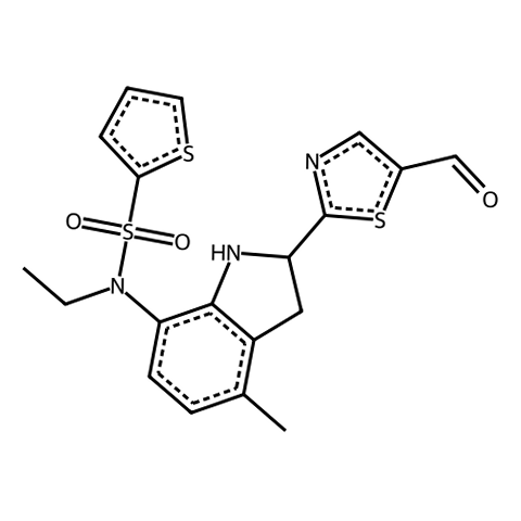 CCN(c1ccc(C)c2c1NC(c1ncc(C=O)s1)C2)S(=O)(=O)c1cccs1